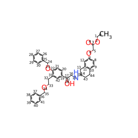 CCOC(=O)COc1ccc2c(c1)C[C@@H](NC[C@@H](O)c1ccc(OCc3ccccc3)c(CCOCc3ccccc3)c1)CC2